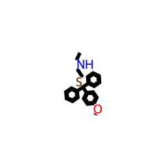 CCNCCSC(c1ccccc1)(c1ccccc1)c1ccc(OC)cc1